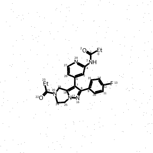 CCC(=O)Nc1cc(-c2c(-c3ccc(F)cc3)nn3c2CN(C(=O)CC)CC3)ccn1